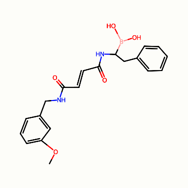 COc1cccc(CNC(=O)C=CC(=O)NC(Cc2ccccc2)B(O)O)c1